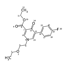 CCOCCn1cc(C(=O)OCC)c(=O)c(-c2ccc(F)cc2)c1